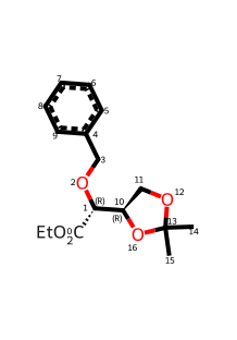 CCOC(=O)[C@H](OCc1ccccc1)[C@H]1COC(C)(C)O1